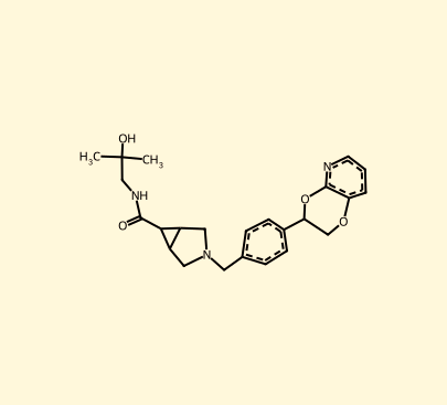 CC(C)(O)CNC(=O)C1C2CN(Cc3ccc(C4COc5cccnc5O4)cc3)CC21